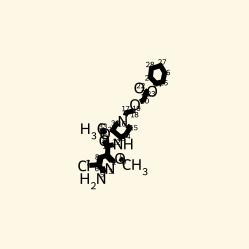 COc1nc(N)c(Cl)cc1C(=O)N[C@H]1CCN(CCOCC(=O)OC2CCCCC2)C[C@H]1OC